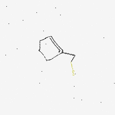 [S]CC1=CCCC1